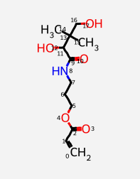 C=CC(=O)OCCCNC(=O)C(O)C(C)(C)CO